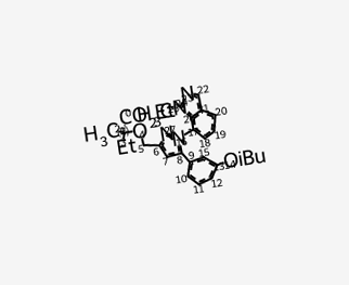 CCOC(=O)[C@@](C)(CC)OCc1cc(-c2cccc(OCC(C)C)c2)n(-c2cccc3cnn(C)c23)n1